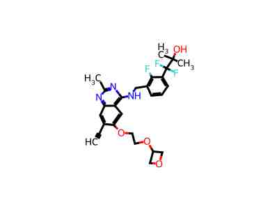 C#Cc1cc2nc(C)nc(NCc3cccc(C(F)(F)C(C)(C)O)c3F)c2cc1OCCOC1COC1